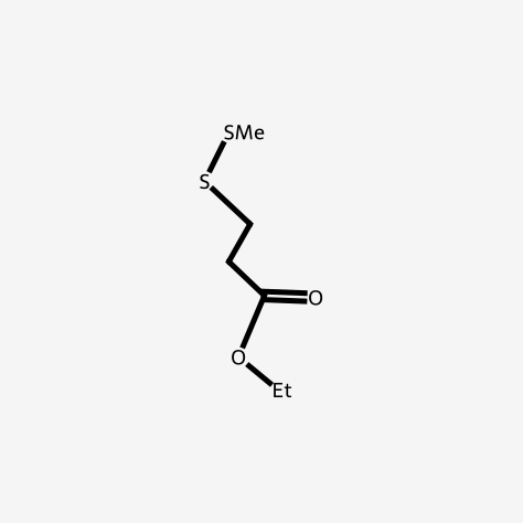 CCOC(=O)CCSSC